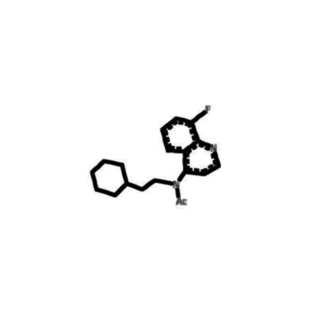 CC(=O)N(CCC1CCCCC1)c1ccnc2c(F)cccc12